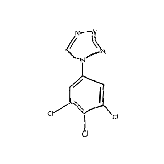 Clc1cc(-n2[c]nnn2)cc(Cl)c1Cl